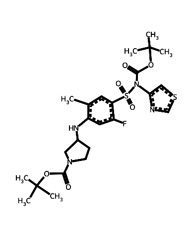 Cc1cc(S(=O)(=O)N(C(=O)OC(C)(C)C)c2cscn2)c(F)cc1NC1CCN(C(=O)OC(C)(C)C)C1